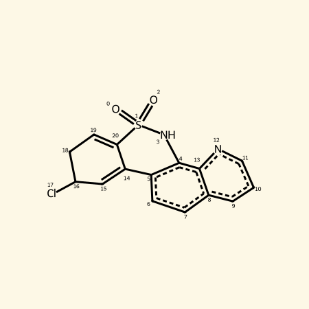 O=S1(=O)Nc2c(ccc3cccnc23)C2=CC(Cl)CC=C21